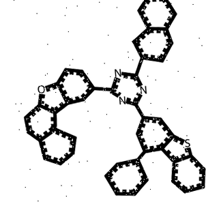 c1ccc(-c2cc(-c3nc(-c4ccc5ccccc5c4)nc(-c4ccc5oc6ccc7ccccc7c6c5c4)n3)cc3sc4ccccc4c23)cc1